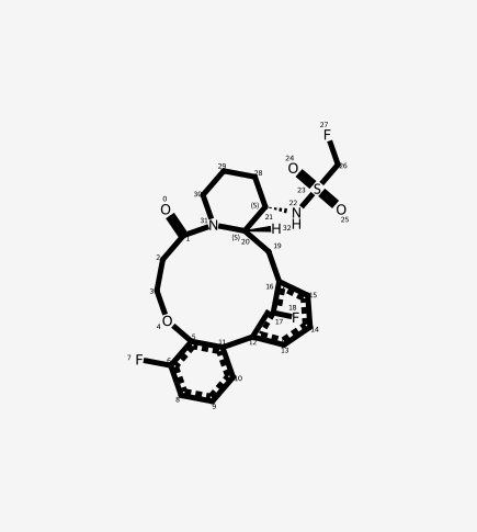 O=C1CCOc2c(F)cccc2-c2cccc(c2F)C[C@H]2[C@@H](NS(=O)(=O)CF)CCCN12